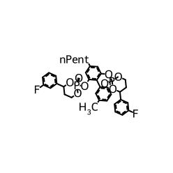 CCCCCc1cc(OP2(=O)OCCC(c3cccc(F)c3)O2)c(-c2cccc(C)c2)c(OP2(=O)OCCC(c3cccc(F)c3)O2)c1